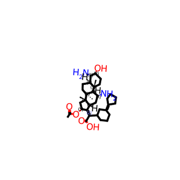 CC(=O)O[C@H]1C[C@@]2(C)[C@@H](C[C@@H](N)[C@H]3[C@@]4(C)CC[C@@H](O)[C@@H](N)[C@@H]4CC[C@@]32C)/C1=C(/C(=O)O)C1CCCC(=C2CCCC2)C1